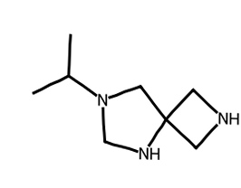 CC(C)N1CNC2(CNC2)C1